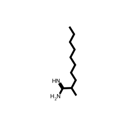 CCCCCCCCC(C)C(=N)N